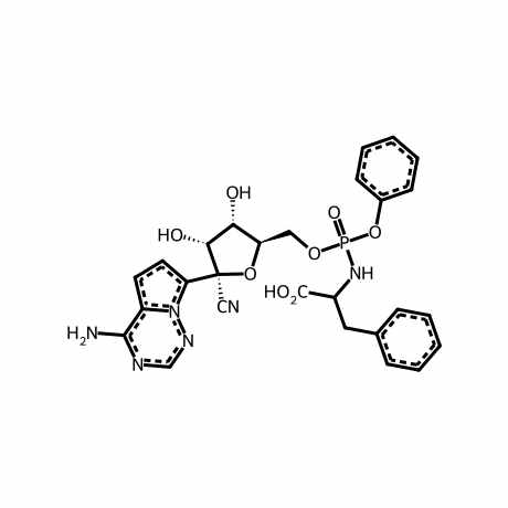 N#C[C@@]1(c2ccc3c(N)ncnn23)O[C@H](COP(=O)(NC(Cc2ccccc2)C(=O)O)Oc2ccccc2)[C@@H](O)[C@H]1O